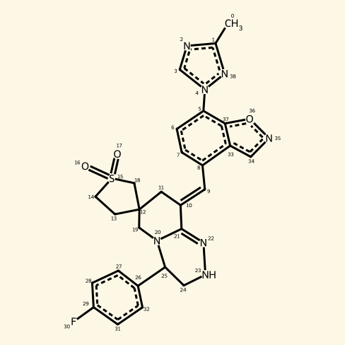 Cc1ncn(-c2ccc(/C=C3\CC4(CCS(=O)(=O)C4)CN4C3=NNCC4c3ccc(F)cc3)c3cnoc23)n1